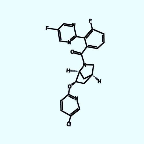 O=C(c1cccc(F)c1-c1ncc(F)cn1)N1C[C@H]2C[C@@H](Oc3ccc(Cl)cn3)[C@@H]1C2